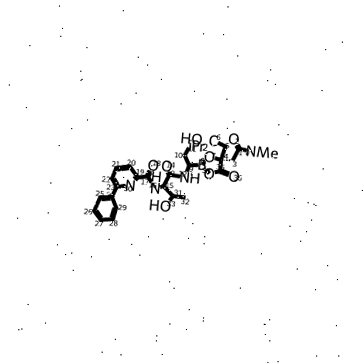 CNC(=O)C[C@@]1(CC(=O)O)OB(C(CC(C)C)NC(=O)C(NC(=O)c2cccc(-c3ccccc3)n2)C(C)O)OC1=O